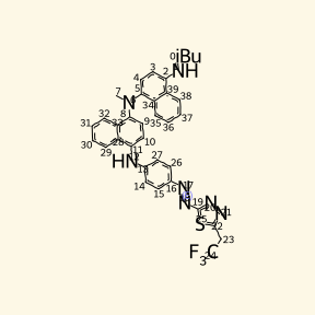 CCC(C)Nc1ccc(N(C)c2ccc(Nc3ccc(/N=N/c4nnc(CC(F)(F)F)s4)cc3)c3ccccc23)c2ccccc12